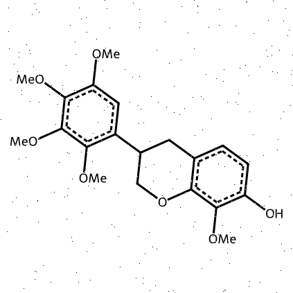 COc1cc(C2COc3c(ccc(O)c3OC)C2)c(OC)c(OC)c1OC